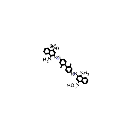 Cc1cc(/N=N/c2cc(S(C)(=O)=O)c3ccccc3c2N)ccc1-c1ccc(/N=N/c2cc(S(=O)(=O)O)c3ccccc3c2N)cc1C